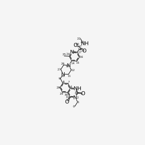 CCn1c(=O)[nH]c2cc(CN3CCN(c4ccc(S(=O)(=O)NC)nc4C)CC3)ccc2c1=O